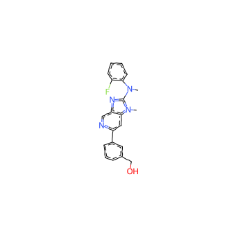 CN(c1ccccc1F)c1nc2cnc(-c3cccc(CO)c3)cc2n1C